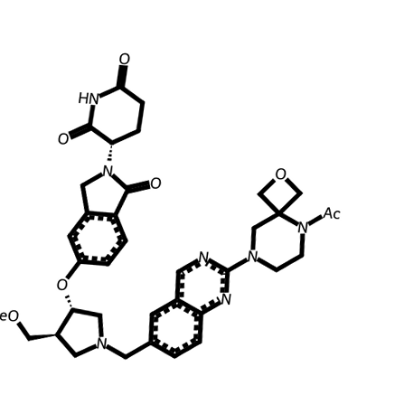 COC[C@@H]1CN(Cc2ccc3nc(N4CCN(C(C)=O)C5(COC5)C4)ncc3c2)C[C@H]1Oc1ccc2c(c1)CN([C@H]1CCC(=O)NC1=O)C2=O